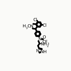 CN1Cc2c(Cl)cc(Cl)cc2C(c2ccc(N(C[C@@H](N)Cc3c[nH]cn3)C(=O)C(F)(F)F)cc2)C1